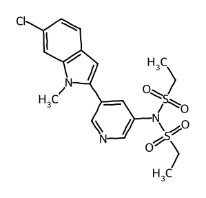 CCS(=O)(=O)N(c1cncc(-c2cc3ccc(Cl)cc3n2C)c1)S(=O)(=O)CC